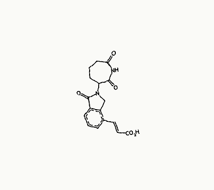 O=C(O)C=Cc1cccc2c1CN(C1CCCC(=O)NC1=O)C2=O